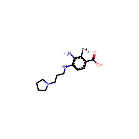 Cc1c(C(=O)O)ccc(NCCCN2CCCC2)c1N